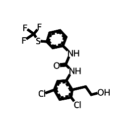 O=C(Nc1cccc(SC(F)(F)F)c1)Nc1cc(Cl)cc(Cl)c1CCO